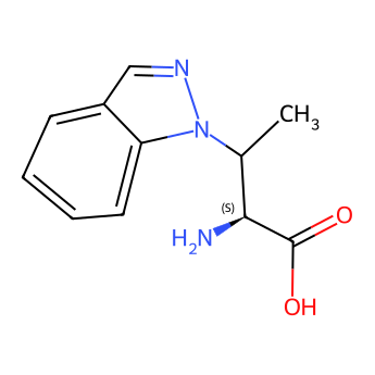 CC([C@H](N)C(=O)O)n1ncc2ccccc21